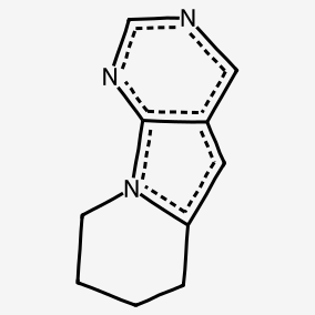 c1ncc2cc3n(c2n1)CCCC3